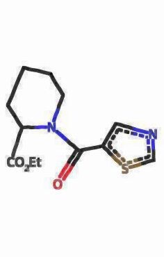 CCOC(=O)C1CCCCN1C(=O)c1cncs1